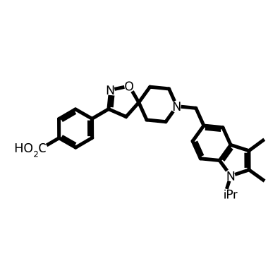 Cc1c(C)n(C(C)C)c2ccc(CN3CCC4(CC3)CC(c3ccc(C(=O)O)cc3)=NO4)cc12